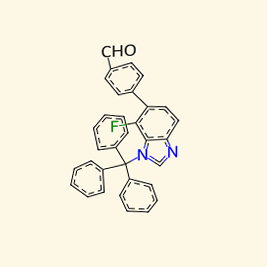 O=Cc1ccc(-c2ccc3ncn(C(c4ccccc4)(c4ccccc4)c4ccccc4)c3c2F)cc1